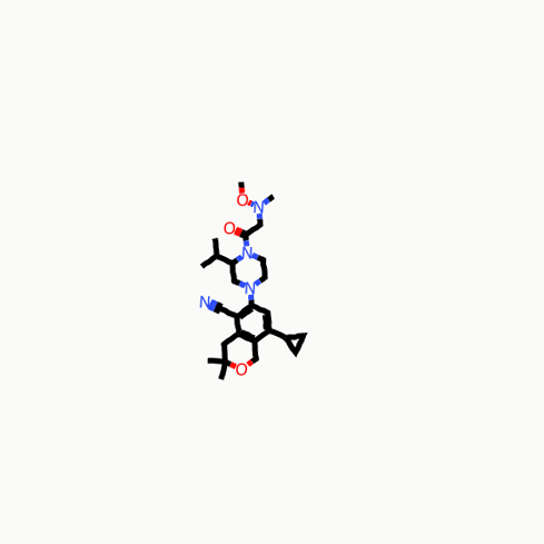 CON(C)CC(=O)N1CCN(c2cc(C3CC3)c3c(c2C#N)CC(C)(C)OC3)CC1C(C)C